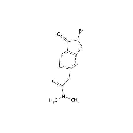 CN(C)C(=O)Cc1ccc2c(c1)CC(Br)C2=O